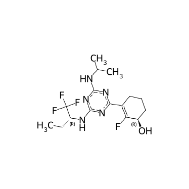 CC[C@@H](Nc1nc(NC(C)C)nc(C2=C(F)[C@H](O)CCC2)n1)C(F)(F)F